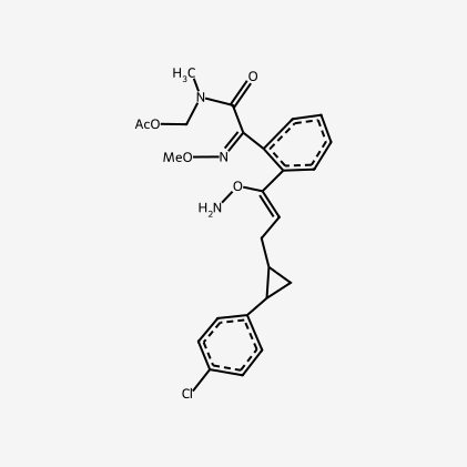 CON=C(C(=O)N(C)COC(C)=O)c1ccccc1C(=CCC1CC1c1ccc(Cl)cc1)ON